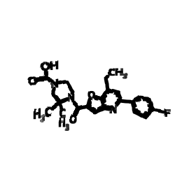 CCc1cc(-c2ccc(F)cc2)nc2cc(C(=O)N3CCN(C(=O)O)CC3(C)C)oc12